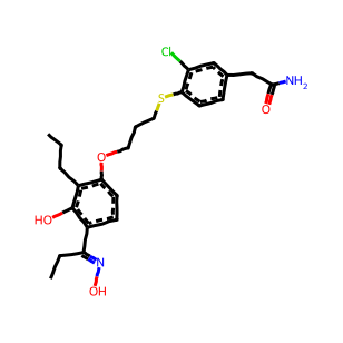 CCCc1c(OCCCSc2ccc(CC(N)=O)cc2Cl)ccc(C(CC)=NO)c1O